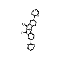 O=c1c2cc(-c3ncccn3)ccc2n2c3ccc(-c4ncccn4)cc3c(=O)n12